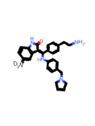 NCCc1ccc(C(Nc2ccc(CN3CCCC3)cc2)=C2C(=O)Nc3ccc([N+](=O)[O-])cc32)cc1